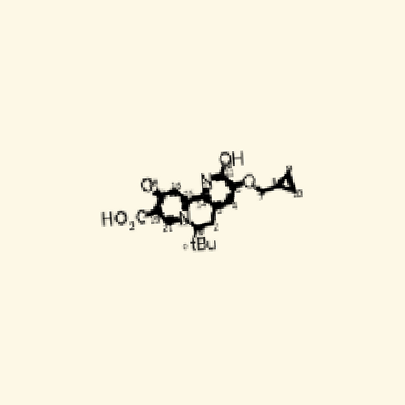 CC(C)(C)[C@@H]1Cc2cc(OCC3CC3)c(O)nc2-c2cc(=O)c(C(=O)O)cn21